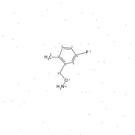 Cc1ccc(F)cc1CON